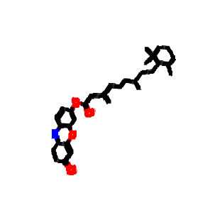 CC1=C(/C=C/C(C)=C/C=C/C(C)=C/C(=O)Oc2ccc3nc4ccc(=O)cc-4oc3c2)C(C)(C)CCC1